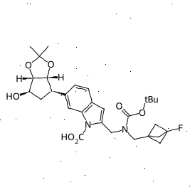 CC(C)(C)OC(=O)N(Cc1cc2ccc([C@H]3C[C@@H](O)[C@@H]4OC(C)(C)O[C@@H]43)cc2n1C(=O)O)CC12CC(F)(C1)C2